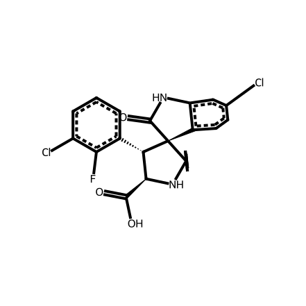 O=C(O)[C@@H]1NC2(CCCC2)[C@@]2(C(=O)Nc3cc(Cl)ccc32)[C@H]1c1cccc(Cl)c1F